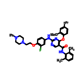 CCCc1ccc(Oc2nc(Nc3ccc(OCCN4CCN(C(C)C)CC4)c(F)c3)ncc2C(=O)Nc2c(C)cccc2C)c(OC)c1